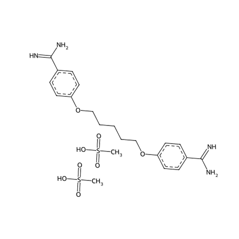 CS(=O)(=O)O.CS(=O)(=O)O.N=C(N)c1ccc(OCCCCCOc2ccc(C(=N)N)cc2)cc1